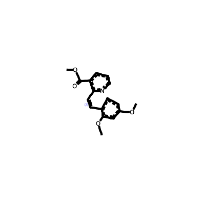 COC(=O)c1cccnc1/C=C\c1ccc(OC)cc1OC